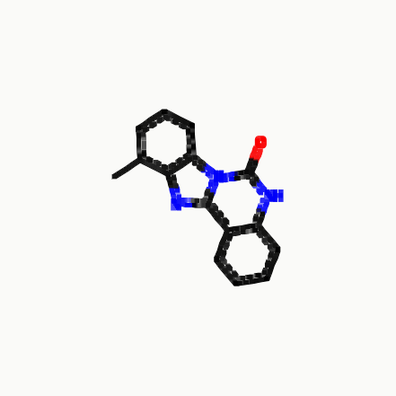 Cc1cccc2c1nc1c3ccccc3[nH]c(=O)n21